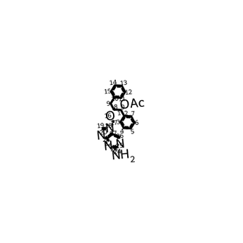 CC(=O)OC(c1ccccc1)C(Cc1ccccc1)OCn1cnc2nc(N)ncc21